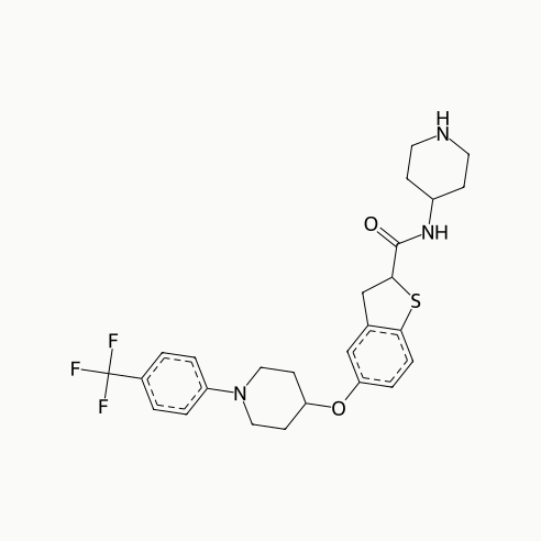 O=C(NC1CCNCC1)C1Cc2cc(OC3CCN(c4ccc(C(F)(F)F)cc4)CC3)ccc2S1